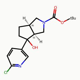 CC(C)(C)OC(=O)N1C[C@@H]2CCC(O)(c3ccc(Cl)nc3)[C@@H]2C1